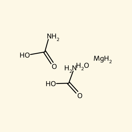 NC(=O)O.NC(=O)O.O.[MgH2]